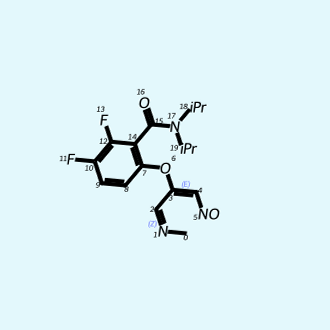 C/N=C\C(=C/N=O)Oc1ccc(F)c(F)c1C(=O)N(C(C)C)C(C)C